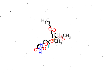 C=P(CCCC(=O)OCCCC)(OC[C@]1(CF)CC[C@H](n2ccc(=O)[nH]c2=O)O1)C(C)COC(C)=O